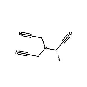 C[C@@H](C#N)N(CC#N)CC#N